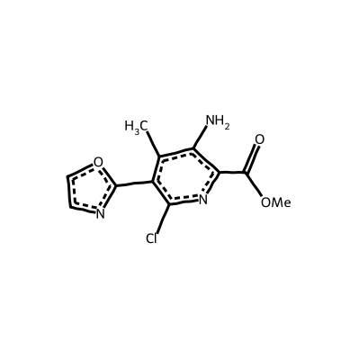 COC(=O)c1nc(Cl)c(-c2ncco2)c(C)c1N